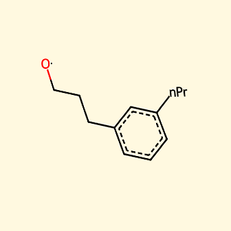 CCCc1cccc(CCC[O])c1